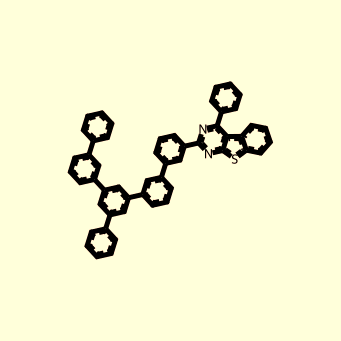 c1ccc(-c2cccc(-c3cc(-c4ccccc4)cc(-c4cccc(-c5cccc(-c6nc(-c7ccccc7)c7c(n6)sc6ccccc67)c5)c4)c3)c2)cc1